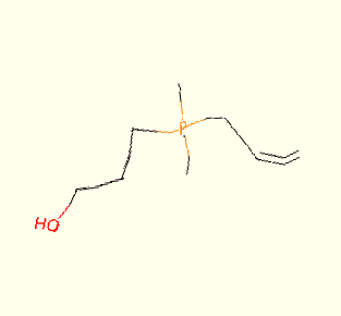 C=CC[P](C)(C)CCCO